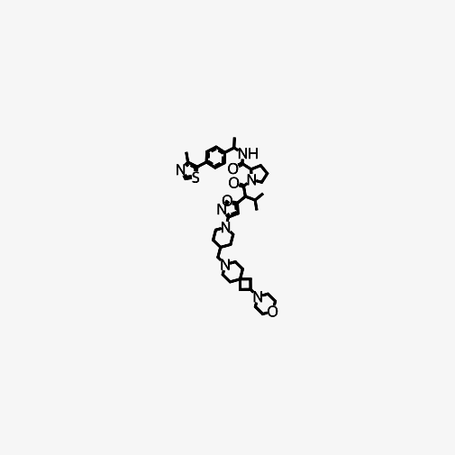 Cc1ncsc1-c1ccc(C(C)NC(=O)C2CCCN2C(=O)C(c2cc(N3CCC(CN4CCC5(CC4)CC(N4CCOCC4)C5)CC3)no2)C(C)C)cc1